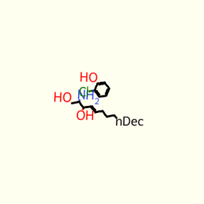 CCCCCCCCCCCCC/C=C/C(O)C(N)CO.Oc1ccccc1Cl